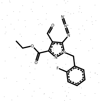 CCOC(=O)c1nn(Cc2ccccc2F)c(N=[N+]=[N-])c1C=O